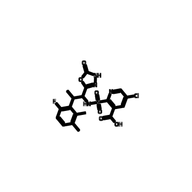 Cc1ccc(F)c(C(C)C(NS(=O)(=O)c2ncc(Cl)cc2C(=O)O)c2n[nH]c(=O)o2)c1C